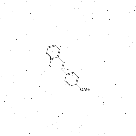 COc1ccc(C=Cc2cccc[n+]2C)cc1